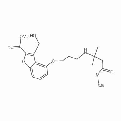 COC(=O)c1oc2cccc(OCCCNC(C)(C)CC(=O)OC(C)(C)C)c2c1CO